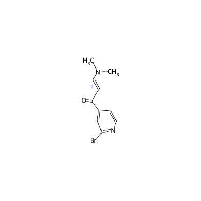 CN(C)/C=C/C(=O)c1ccnc(Br)c1